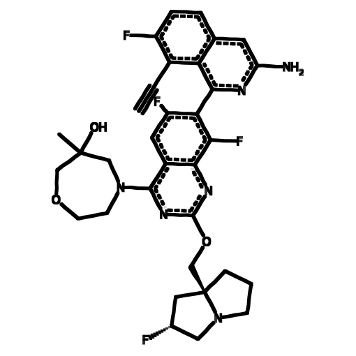 C#Cc1c(F)ccc2cc(N)nc(-c3c(F)cc4c(N5CCOCC(C)(O)C5)nc(OC[C@@]56CCCN5C[C@H](F)C6)nc4c3F)c12